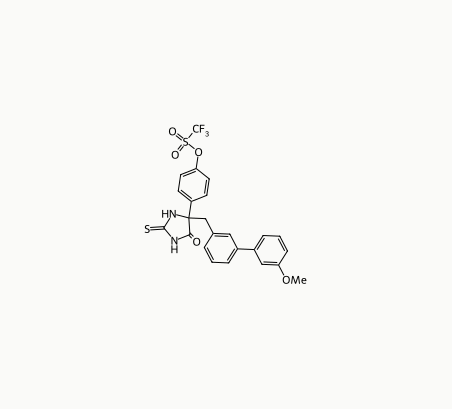 COc1cccc(-c2cccc(CC3(c4ccc(OS(=O)(=O)C(F)(F)F)cc4)NC(=S)NC3=O)c2)c1